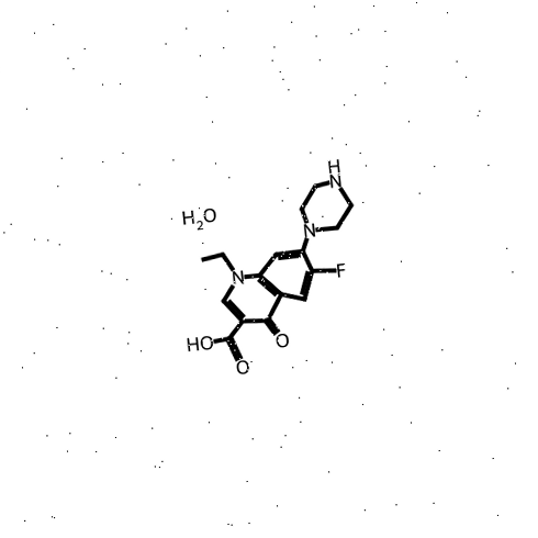 CCn1cc(C(=O)O)c(=O)c2cc(F)c(N3CCNCC3)cc21.O